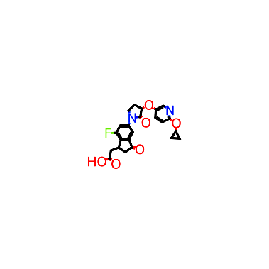 O=C(O)CC1CC(=O)c2cc(N3CC[C@@H](Oc4ccc(OC5CC5)nc4)C3=O)cc(F)c21